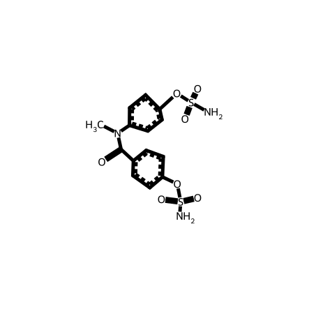 CN(C(=O)c1ccc(OS(N)(=O)=O)cc1)c1ccc(OS(N)(=O)=O)cc1